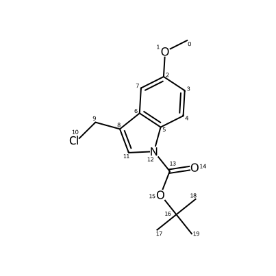 COc1ccc2c(c1)c(CCl)cn2C(=O)OC(C)(C)C